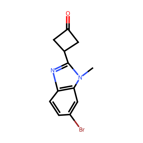 Cn1c(C2CC(=O)C2)nc2ccc(Br)cc21